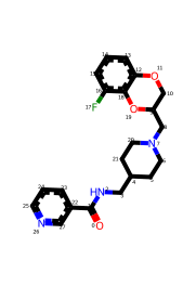 O=C(NCC1CCN(CC2COc3cccc(F)c3O2)CC1)c1cccnc1